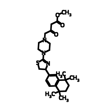 COC(=O)CC(=O)CN1CCN(C2=NC(c3ccc4c(c3)C(C)(C)CCC4(C)C)CS2)CC1